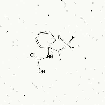 CC(C(F)(F)F)C1(NC(=O)O)C=CC=CC1